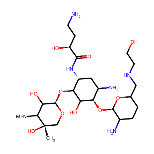 CNC1C(O)[C@@H](OC2C(O)[C@H](O[C@H]3OC(CNCCO)CCC3N)C(N)C[C@H]2NC(=O)[C@@H](O)CCN)OC[C@]1(C)O